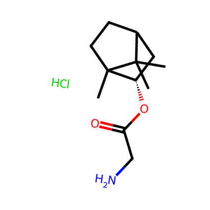 CC1(C)C2CCC1(C)[C@@H](OC(=O)CN)C2.Cl